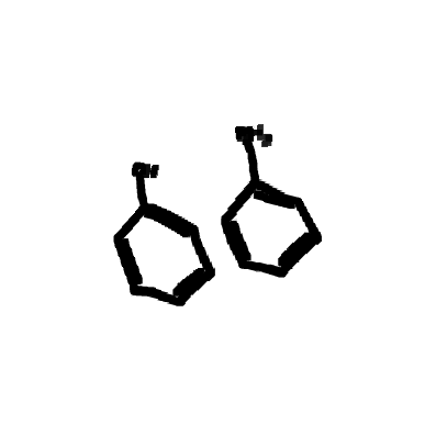 Bc1ccccc1.Oc1ccccc1